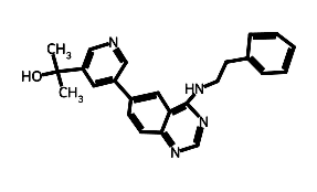 CC(C)(O)c1cncc(-c2ccc3ncnc(NCCc4ccccc4)c3c2)c1